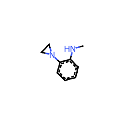 CNc1ccccc1N1CC1